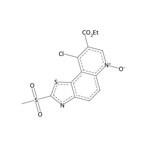 CCOC(=O)c1c[n+]([O-])c2ccc3nc(S(C)(=O)=O)sc3c2c1Cl